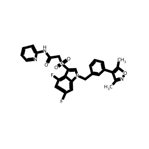 Cc1noc(C)c1-c1cccc(Cn2cc(S(=O)(=O)CC(=O)Nc3ccccn3)c3c(F)cc(F)cc32)c1